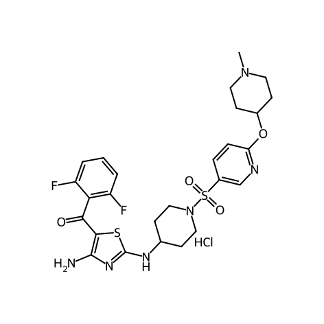 CN1CCC(Oc2ccc(S(=O)(=O)N3CCC(Nc4nc(N)c(C(=O)c5c(F)cccc5F)s4)CC3)cn2)CC1.Cl